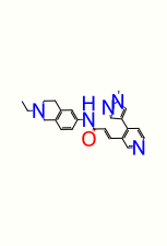 CCN1CCc2cc(NC(=O)C=Cc3cnccc3-c3cnn(C)c3)ccc2C1